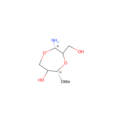 CO[C@H]1OC(CO)[C@@H](N)OCC1O